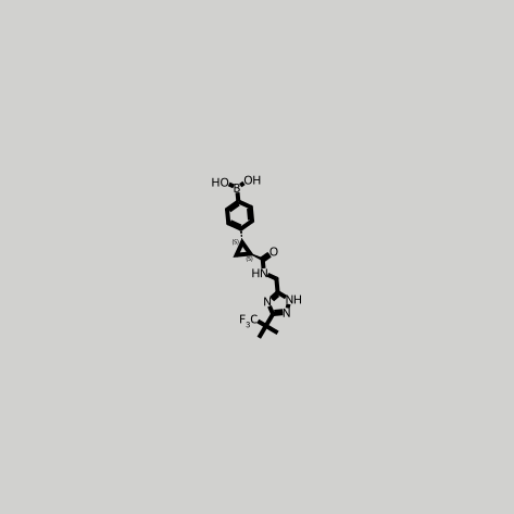 CC(C)(c1n[nH]c(CNC(=O)[C@H]2C[C@@H]2c2ccc(B(O)O)cc2)n1)C(F)(F)F